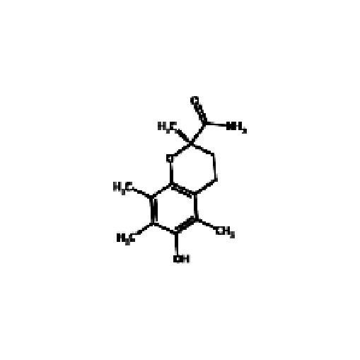 Cc1c(C)c2c(c(C)c1O)CC[C@@](C)(C(N)=O)O2